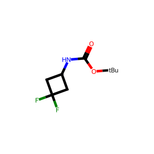 CC(C)(C)OC(=O)N[C]1CC(F)(F)C1